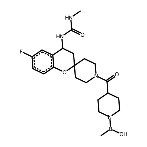 CNC(=O)NC1CC2(CCN(C(=O)C3CCN(B(C)O)CC3)CC2)Oc2ccc(F)cc21